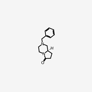 O=C1CC[C@@H]2CN(Cc3ccccc3)CCN12